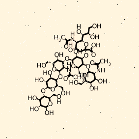 CC(=O)N[C@H]1[C@H](O[C@@H]2[C@H](O[C@]3(C(=O)O)C[C@H](O)[C@@H](NC(C)=O)[C@H]([C@H](O)[C@H](O)CO)O3)[C@@H](O)[C@H](O[C@H]3[C@@H](O)[C@@H](CO)O[C@@H](O[C@@H]4[C@H](O)[C@@H](O)[C@H](O[C@H]5[C@H](O)[C@@H](O)[C@H](O)O[C@@H]5CO)O[C@@H]4CO)[C@@H]3NC(C)=O)O[C@@H]2CO)O[C@H](CO)[C@H](O)[C@@H]1O